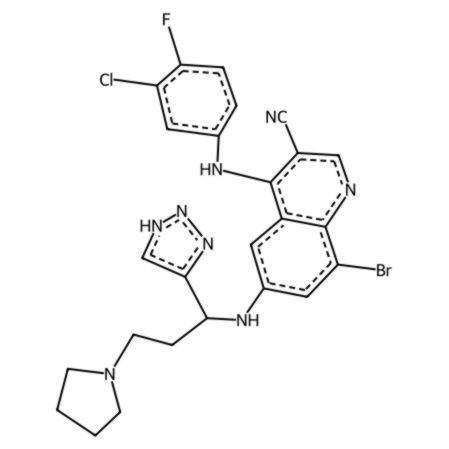 N#Cc1cnc2c(Br)cc(NC(CCN3CCCC3)c3c[nH]nn3)cc2c1Nc1ccc(F)c(Cl)c1